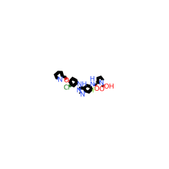 O=C(Nc1cc2c(Nc3ccc(OCc4ccccn4)c(Cl)c3)ncnc2cc1F)[C@@H]1CCCN1C(=O)O